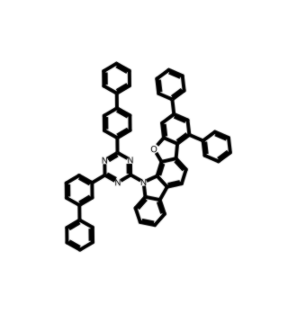 c1ccc(-c2ccc(-c3nc(-c4cccc(-c5ccccc5)c4)nc(-n4c5ccccc5c5ccc6c(oc7cc(-c8ccccc8)cc(-c8ccccc8)c76)c54)n3)cc2)cc1